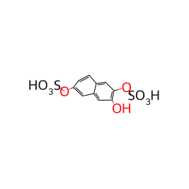 O=S(=O)(O)Oc1ccc2cc(OS(=O)(=O)O)c(O)cc2c1